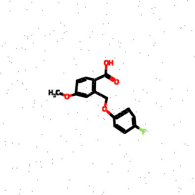 COc1ccc(C(=O)O)c(COc2ccc(F)cc2)c1